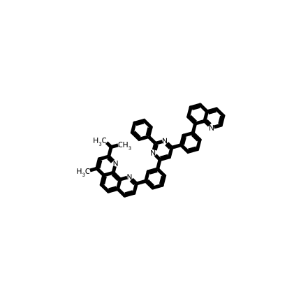 Cc1cc(C(C)C)nc2c1ccc1ccc(-c3cccc(-c4cc(-c5cccc(-c6cccc7cccnc67)c5)nc(-c5ccccc5)n4)c3)nc12